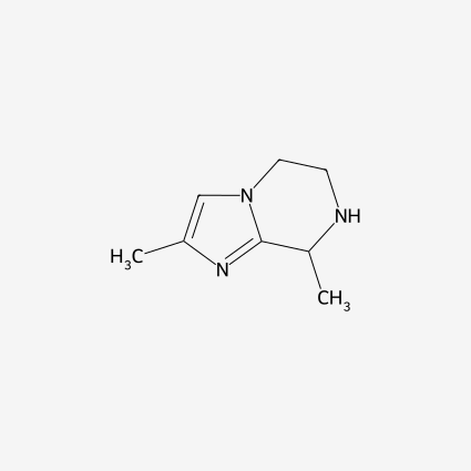 Cc1cn2c(n1)C(C)NCC2